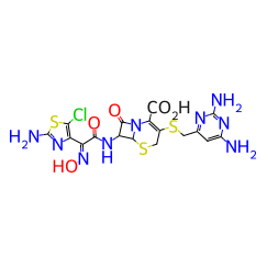 Nc1cc(CSC2=C(C(=O)O)N3C(=O)C(NC(=O)C(=NO)c4nc(N)sc4Cl)C3SC2)nc(N)n1